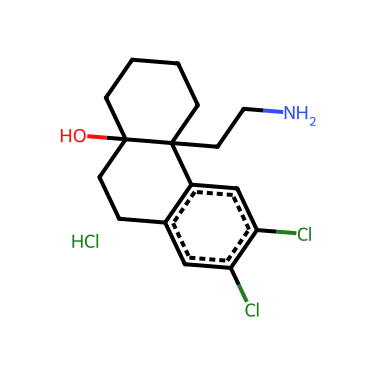 Cl.NCCC12CCCCC1(O)CCc1cc(Cl)c(Cl)cc12